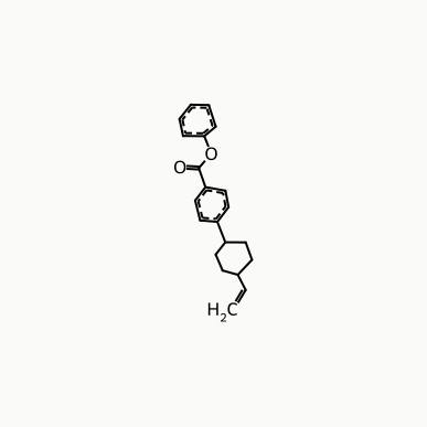 C=CC1CCC(c2ccc(C(=O)Oc3ccccc3)cc2)CC1